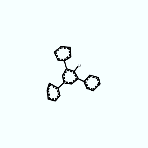 [Li][c]1c(-c2ccccc2)cc(-c2ccccc2)cc1-c1ccccc1